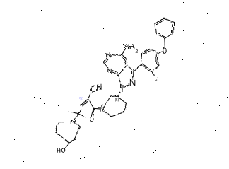 CC(C)(/C=C(/C#N)C(=O)N1CCC[C@H](n2nc(-c3ccc(Oc4ccccc4)cc3F)c3c(N)ncnc32)C1)N1CCC(O)CC1